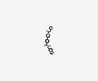 O=C(NCc1ccc2nccn2c1)c1ccc(C2=CCN(C(=O)CC3CCCO3)CC2)cc1